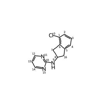 Clc1cccc2c1CC(Nc1nc[c]cn1)C2